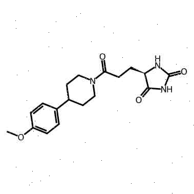 COc1ccc(C2CCN(C(=O)CC[C@H]3NC(=O)NC3=O)CC2)cc1